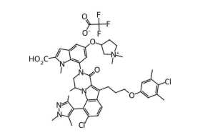 Cc1cc(OCCCc2c3n(c4c(-c5c(C)nn(C)c5C)c(Cl)ccc24)C(C)CN(c2cc(OC4CC[N+](C)(C)C4)cc4cc(C(=O)O)n(C)c24)C3=O)cc(C)c1Cl.O=C([O-])C(F)(F)F